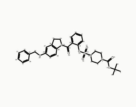 CC(C)(C)OC(=O)N1CCN(S(=O)(=O)Oc2ccccc2C(=O)N2CCc3cc(SCc4ccccc4)ccc32)CC1